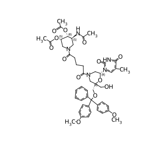 COc1ccc(C(OC[C@]2(CO)CN(C(=O)CCCC(=O)N3C[C@H](NC(C)=O)[C@@H](OC(C)=O)[C@@H](OC(C)=O)C3)C[C@H](n3cc(C)c(=O)[nH]c3=O)O2)(c2ccccc2)c2ccc(OC)cc2)cc1